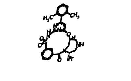 Cc1cccc(C)c1-c1cc2nc(n1)NS(=O)(=O)c1cccc(c1)C(=O)N1C[C@@H](CNC[C@@H]1C(C)C)O2